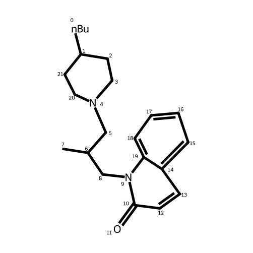 CCCCC1CCN(CC(C)Cn2c(=O)ccc3ccccc32)CC1